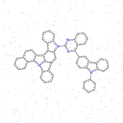 c1ccc(-n2c3ccccc3c3cc(-c4nc(-n5c6ccccc6c6c7c8ccc9ccccc9c8n8c9ccccc9c(cc65)c78)nc5ccccc45)ccc32)cc1